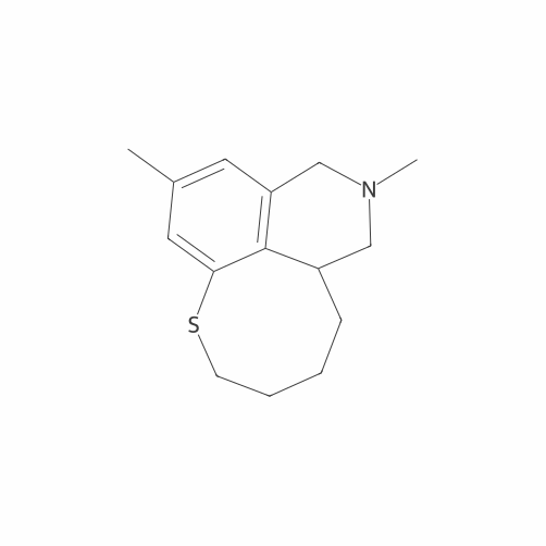 Cc1cc2c3c(c1)SCCCCC3CN(C)C2